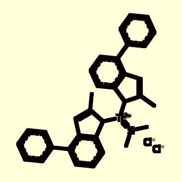 CC1=Cc2c(-c3ccccc3)cccc2[CH]1[Ti+2]([CH]1C(C)=Cc2c(-c3ccccc3)cccc21)=[Si](C)C.[Cl-].[Cl-]